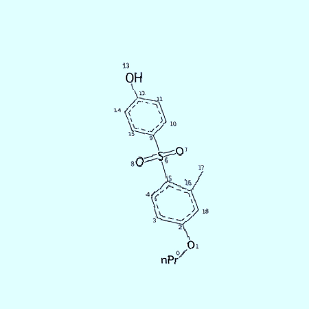 CCCOc1ccc(S(=O)(=O)c2ccc(O)cc2)c(C)c1